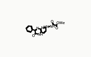 COC(=O)C(=O)NNc1ccc2[nH]c(=O)c(-c3ccccc3)nc2n1